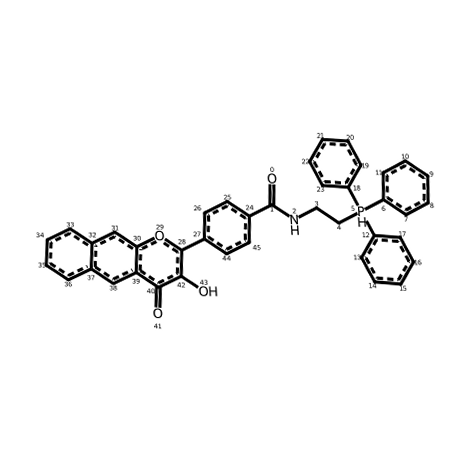 O=C(NCC[PH](c1ccccc1)(c1ccccc1)c1ccccc1)c1ccc(-c2oc3cc4ccccc4cc3c(=O)c2O)cc1